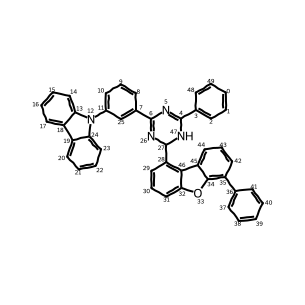 c1ccc(C2=NC(c3cccc(-n4c5ccccc5c5ccccc54)c3)=NC(c3cccc4oc5c(-c6ccccc6)cccc5c34)N2)cc1